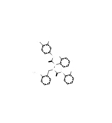 COc1ccccc1CN(C(=O)Nc1ccccc1C(=O)O)N(C(=O)Nc1ccc(Cl)c(Cl)c1)c1ccccc1C(=O)O